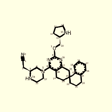 N#CC[C@H]1CN(c2nc(OC[C@@H]3CCCN3)nc3c2CCC2(CCCc4ccccc42)C3)CCN1